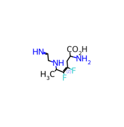 CC(NCC=N)/C(F)=C(/F)CC(N)C(=O)O